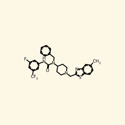 Cc1ccc2sc(CN3CCC(N(Cc4ccccc4)C(=O)Nc4cc(F)cc(C(F)(F)F)c4)CC3)nc2c1